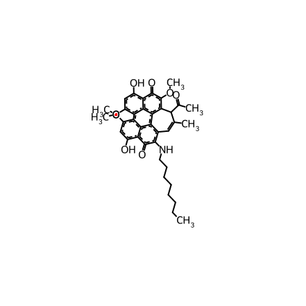 CCCCCCCCNc1c2c3c4c(c(OC)c(=O)c5c(O)cc(OC)c(c6c(OC)cc(O)c(c1=O)c63)c54)C(C(C)=O)C(C)=C2